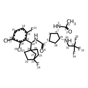 CC(=O)N[C@H]1C[C@@H](C(=O)N[C@H](c2c(F)ccc(Cl)c2Cl)C23CCC(F)(CC2)C3)C[C@H]1NCC(F)(F)F